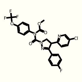 COC(=O)N(C(=O)N1CC(c2ccc(Cl)cn2)C(c2ccc(F)cc2)=N1)c1ccc(OC(F)(F)F)cc1